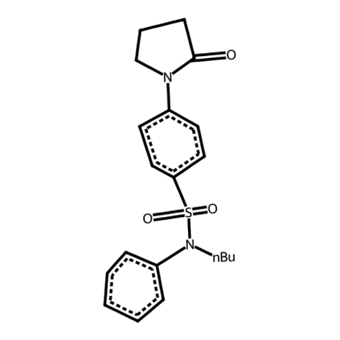 CCCCN(c1ccccc1)S(=O)(=O)c1ccc(N2CCCC2=O)cc1